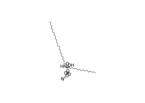 CCCCCCCCCCCCCCCCCCCCCCCCCC(=O)N[C@@H](COP(=O)([O-])OCC[N+](C)(C)C)[C@H](O)CCCCCCCCCCCCCCC